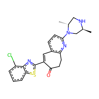 C[C@@H]1CN[C@@H](C)CN1c1ccc2c(n1)CCC(=O)C(c1nc3c(Cl)cccc3s1)=C2